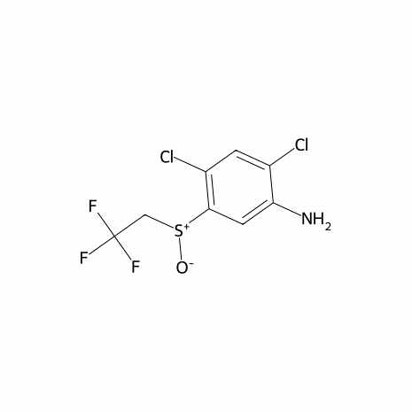 Nc1cc([S+]([O-])CC(F)(F)F)c(Cl)cc1Cl